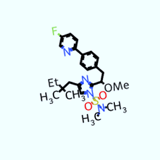 CCC(C)(C)Cc1cn(S(=O)(=O)N(C)C)c(C(Cc2ccc(-c3ccc(F)cn3)cc2)OC)n1